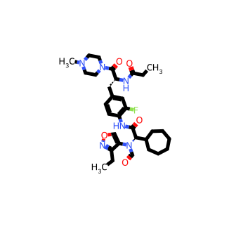 CCC(=O)N[C@H](Cc1ccc(NC(=O)[C@H](C2CCCCCC2)N(C=O)c2conc2CC)c(F)c1)C(=O)N1CCN(C)CC1